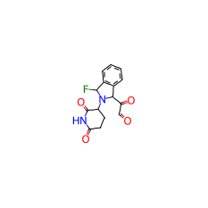 O=CC(=O)C1c2ccccc2C(F)N1C1CCC(=O)NC1=O